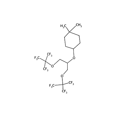 CC1(C)CCC(OC(COC(C(F)(F)F)(C(F)(F)F)C(F)(F)F)COC(C(F)(F)F)(C(F)(F)F)C(F)(F)F)CC1